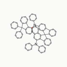 c1ccc(N(c2ccc3c(c2)C2(c4ccccc4-3)c3ccccc3-c3c(N(c4ccccc4)c4ccccc4)cc4ccccc4c32)c2cccc3c2-c2ccccc2C3(c2ccccc2)c2ccccc2)cc1